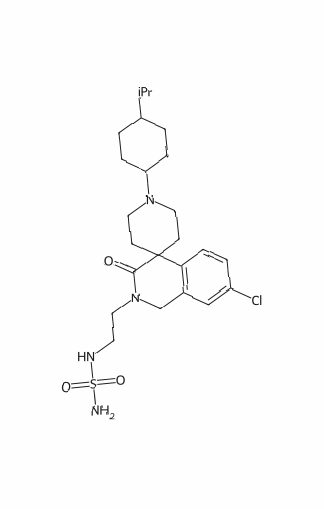 CC(C)C1CCC(N2CCC3(CC2)C(=O)N(CCNS(N)(=O)=O)Cc2cc(Cl)ccc23)CC1